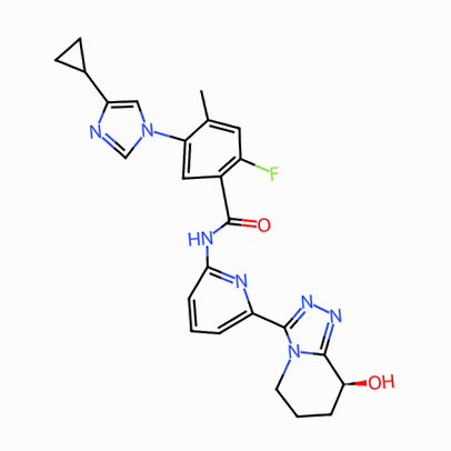 Cc1cc(F)c(C(=O)Nc2cccc(-c3nnc4n3CCC[C@@H]4O)n2)cc1-n1cnc(C2CC2)c1